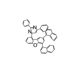 c1ccc(-c2cc(-c3cccc4oc5c(-c6cccc7ccccc67)cc(-c6cccc7ccccc67)cc5c34)nc(-c3ccccc3)n2)cc1